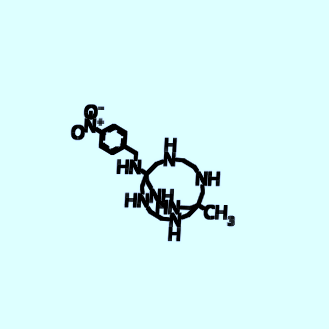 CC12CNCCNCC(NCc3ccc([N+](=O)[O-])cc3)(CNCCNC1)CNCCNC2